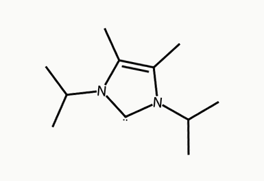 CC1=C(C)N(C(C)C)[C]N1C(C)C